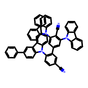 N#Cc1ccc(-n2c3ccc(-c4ccccc4)cc3c3cc(-c4ccccc4)ccc32)c(-c2cc(-n3c4ccccc4c4ccccc43)c(C#N)c(-n3c4ccccc4c4ccccc43)c2)c1